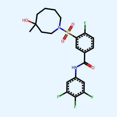 CC1(O)CCCCN(S(=O)(=O)c2cc(C(=O)Nc3cc(F)c(F)c(F)c3)ccc2F)CC1